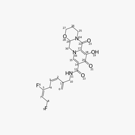 C=C(/C=C\C/C(F)=C\CF)CNC(=O)c1cn2c(c(O)c1=O)C(=O)N1CCCOC1C2